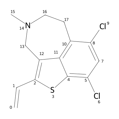 C=Cc1sc2c(Cl)cc(Cl)c3c2c1CN(C)CC3